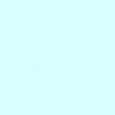 C=C(/C=C(\C)c1c(C)cc(C)nc1C)C(F)F